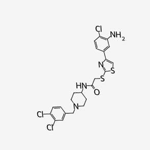 Nc1cc(-c2csc(SCC(=O)NC3CCN(Cc4ccc(Cl)c(Cl)c4)CC3)n2)ccc1Cl